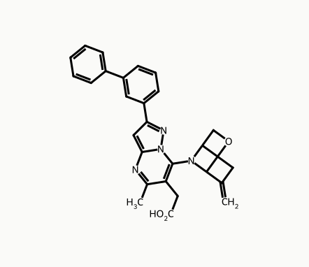 C=C1CC23OCC2N(c2c(CC(=O)O)c(C)nc4cc(-c5cccc(-c6ccccc6)c5)nn24)C13